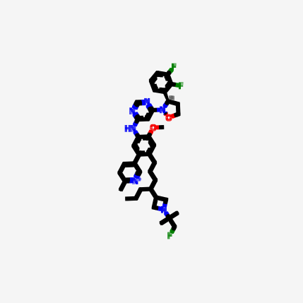 CCCC(CCCc1cc(OC)c(Nc2cc(N3OCC[C@@H]3c3cccc(F)c3F)ncn2)cc1C1=CCC(C)=[N+]=C1)C1CN(C(C)(C)CF)C1